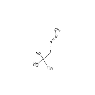 CN=NCC(O)(O)O